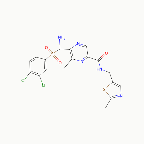 Cc1ncc(CNC(=O)c2cnc(C(N)S(=O)(=O)c3ccc(Cl)c(Cl)c3)c(C)n2)s1